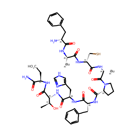 CC[C@@H](C)[C@@H](NC(=O)[C@H](N)Cc1ccccc1)C(=O)N[C@H](CS)C(=O)N[C@@H](C(=O)N1CCC[C@@H]1C(=O)N[C@H](Cc1ccccc1)C(=O)N[C@H](Cc1c[nH]cn1)C(=O)N[C@@H](C(=O)N[C@H](CC(=O)O)C(N)=O)[C@H](C)O)[C@H](C)CC